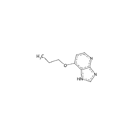 CCCOc1ccnc2nc[nH]c12